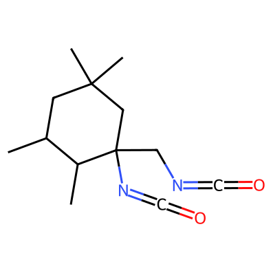 CC1CC(C)(C)CC(CN=C=O)(N=C=O)C1C